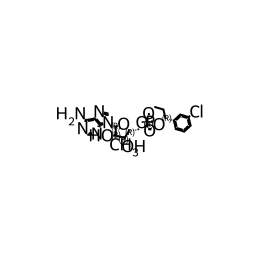 C[C@@]1(O)[C@H](O)[C@@H](CO[P@@]2(=O)OCC[C@H](c3cccc(Cl)c3)O2)O[C@H]1n1cnc2c(N)ncnc21